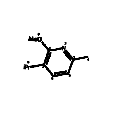 COc1nc(C)ccc1C(C)C